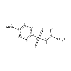 COc1ccc(S(=O)(=O)NC(C)C(=O)O)cc1